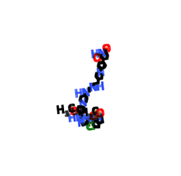 COc1cc(N2CCC(NCCNCCC3CCN(c4ccc(C5CCC(=O)NC5=O)cc4)CC3)CC2)ccc1Nc1ncc(Cl)c(Nc2cccc3c2N(S(C)(=O)=O)CC3)n1